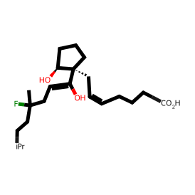 CC(C)CCC(C)(F)CC=C(O)[C@]1(C/C=C\CCCC(=O)O)CCC[C@@H]1O